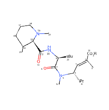 C/C(=C\[C@H](C(C)C)N(C)C(=O)[C@@H](NC(=O)[C@H]1C(C)CCCN1C)C(C)(C)C)C(=O)O